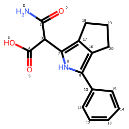 NC(=O)C(C(=O)O)c1[nH]c(-c2ccccc2)c2c1CCC2